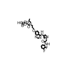 CCCN(CCCOc1ccc2c(Nc3cnn(CC(=O)Nc4cccc(F)c4F)c3)ncnc2c1)C(=O)COP(=O)(O)O